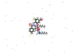 CNN(C)C(=O)CC1(C(=O)OC)C(=O)N(Cc2ccc(Br)cc2F)C(=O)c2ccc(F)cc21